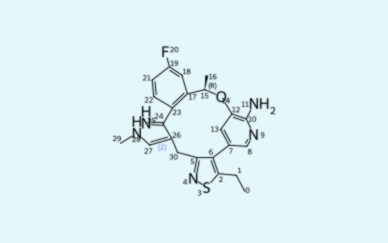 CCc1snc2c1-c1cnc(N)c(c1)O[C@H](C)c1cc(F)ccc1C(=N)/C(=C\NC)C2